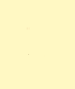 C[SiH](CC=CO)O[Si](C)(C)C